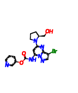 O=C(Nc1cc(N2CCC[C@H]2CO)nc2c(Br)cnn12)Oc1cccnc1